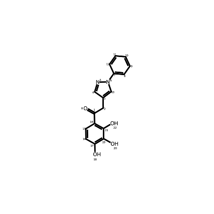 O=C(Cc1cnn(-c2ccccc2)c1)c1ccc(O)c(O)c1O